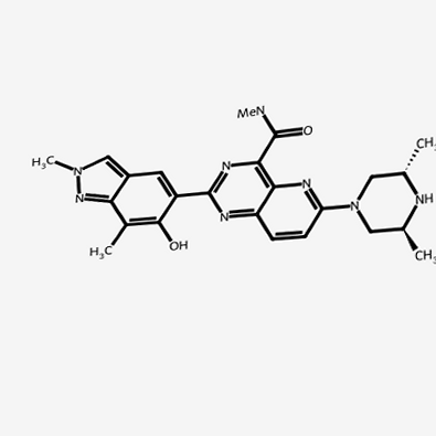 CNC(=O)c1nc(-c2cc3cn(C)nc3c(C)c2O)nc2ccc(N3C[C@H](C)N[C@@H](C)C3)nc12